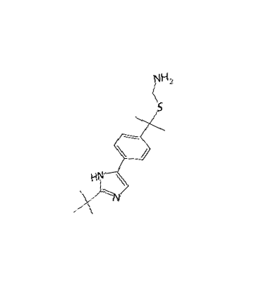 CC(C)(C)c1ncc(-c2ccc(C(C)(C)SCN)cc2)[nH]1